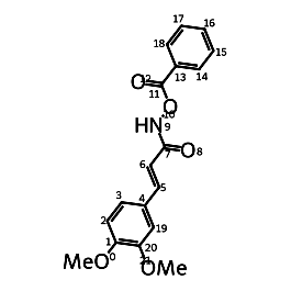 COc1ccc(/C=C/C(=O)NOC(=O)c2ccccc2)cc1OC